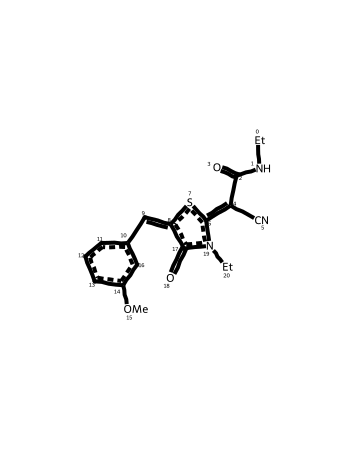 CCNC(=O)/C(C#N)=c1\sc(=Cc2cccc(OC)c2)c(=O)n1CC